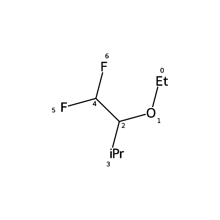 CCOC(C(C)C)C(F)F